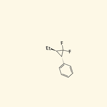 CC[C@@H]1[C@@H](c2ccccc2)C1(F)F